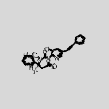 CN1C(=O)N(c2ncc(C#Cc3ccccc3)cc2Cl)C(=O)C[C@@]1(C)c1ccccc1